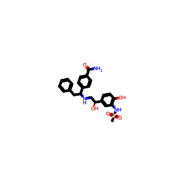 CS(=O)(=O)Nc1cc([C@@H](O)CNC(Cc2ccccc2)c2ccc(C(N)=O)cc2)ccc1O